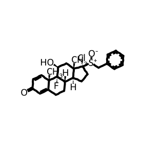 C[C@]12C=CC(=O)C=C1CC[C@H]1[C@@H]3CC[C@](Cl)([S+]([O-])Cc4ccccc4)[C@@]3(C)C[C@H](O)[C@@]12F